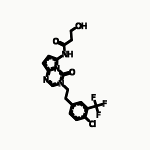 O=C(CCO)Nc1ccc2ncn(CCc3ccc(Cl)c(C(F)(F)F)c3)c(=O)n12